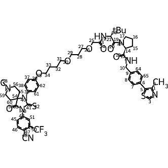 Cc1ncsc1-c1ccc(CNC(=O)[C@@H]2CCCN2C(=O)[C@@H](NC(=O)COCCCOCCCCOc2ccc(N3C(=S)N(c4ccc(C#N)c(C(F)(F)F)c4)C(=O)C34CCN(C)CC4)cc2)C(C)(C)C)cc1